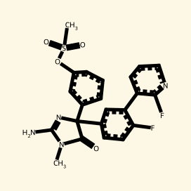 CN1C(=O)C(c2cccc(OS(C)(=O)=O)c2)(c2ccc(F)c(-c3cccnc3F)c2)N=C1N